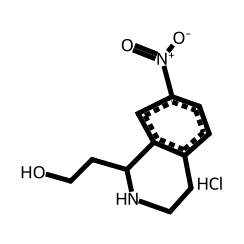 Cl.O=[N+]([O-])c1ccc2c(c1)C(CCO)NCC2